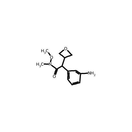 CON(C)C(=O)C(c1cccc(N)c1)C1COC1